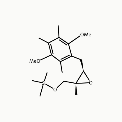 COc1c(C)c(C)c(OC)c(C[C@H]2O[C@]2(C)CO[Si](C)(C)C)c1C